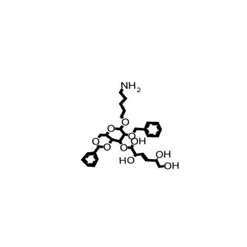 NCCCCCOC1OC2COC(c3ccccc3)OC2C(OC(O)C(O)/C=C/[C@H](O)CO)C1OCc1ccccc1